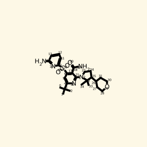 CC(C)(C)c1cc(S(=O)(=O)c2cccc(N)n2)c(C(N)=O)c(N2CCC(C3CCOCC3)C2(C)C)n1